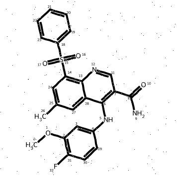 COc1cc(Nc2c(C(N)=O)cnc3c(S(=O)(=O)c4ccccc4)cc(C)cc23)ccc1F